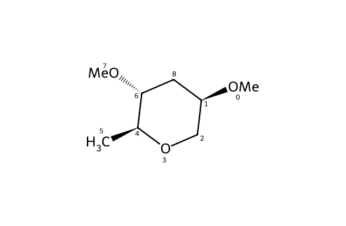 CO[C@H]1CO[C@@H](C)[C@H](OC)C1